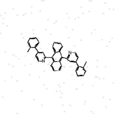 Cc1ccccc1-c1ccnc(-c2c3ccccc3c(-c3cc(-c4ccccc4C)ccn3)c3ccccc23)c1